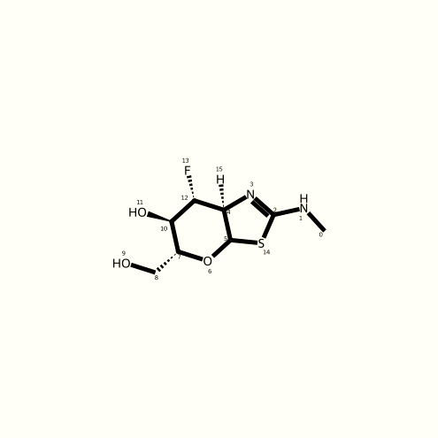 CNC1=N[C@H]2C(O[C@H](CO)[C@@H](O)[C@@H]2F)S1